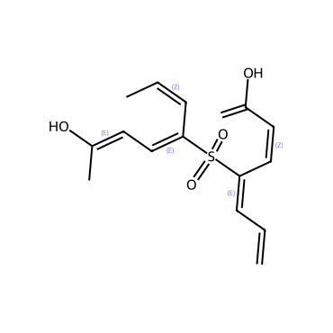 C=C/C=C(\C=C/C(=C)O)S(=O)(=O)C(/C=C\C)=C/C=C(\C)O